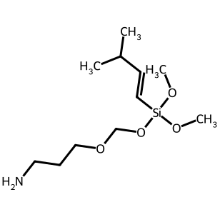 CO[Si](C=CC(C)C)(OC)OCOCCCN